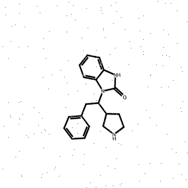 O=c1[nH]c2ccccc2n1C(Cc1ccccc1)C1CCNC1